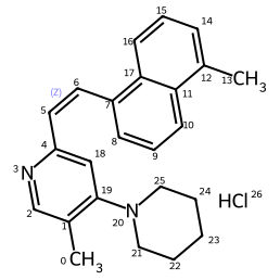 Cc1cnc(/C=C\c2cccc3c(C)cccc23)cc1N1CCCCC1.Cl